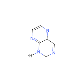 [2H]N1CN=Cc2nccnc21